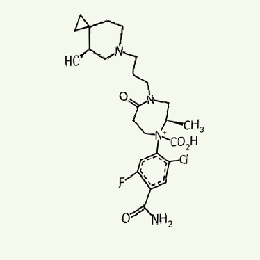 C[C@@H]1CN(CCCN2CCC3(CC3)[C@H](O)C2)C(=O)CC[N+]1(C(=O)O)c1cc(F)c(C(N)=O)cc1Cl